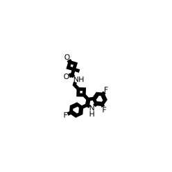 CC1(C(=O)NCC2CC(c3c(-c4ccc(F)cc4)[nH]c4c(F)cc(F)cc34)C2)CC(=O)C1